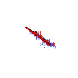 CCCCCCCCCCCCCCCCCC(=O)NC(CCC(=O)NCCOCCOCC(=O)NCCOCCOCC(=O)NCCCC[C@H](NCN)C(=O)CN[C@@H](CO)C(N)=O)C(=O)O